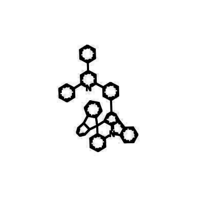 C1=CC2c3ccccc3C3(c4ccccc4-n4c5ccccc5c5cc(-c6cccc(-c7cc(-c8ccccc8)cc(-c8ccccc8)n7)c6)cc3c54)C2C=C1